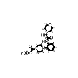 CCCCOC(=O)N1CCN(c2ccccc2NC(=O)NN2CCOCC2)CC1